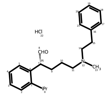 CC(C)c1ccccc1[C@H](C=O)CCCN(C)CCc1ccccc1.Cl